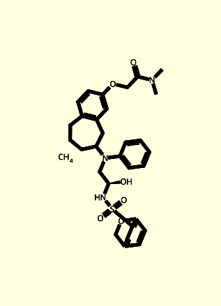 C.CN(C)C(=O)COc1ccc2c(c1)CC(N(C[C@@H](O)NS(=O)(=O)c1cc3ccc1OC3)c1ccccc1)CCC2